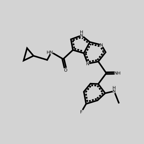 CNc1cc(F)ccc1C(=N)c1cnc2[nH]cc(C(=O)NCC3CC3)c2n1